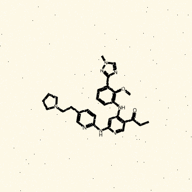 CCC(=O)c1cnc(Nc2ccc(CCN3CCCC3)cn2)cc1Nc1cccc(-c2ncn(C)n2)c1OC